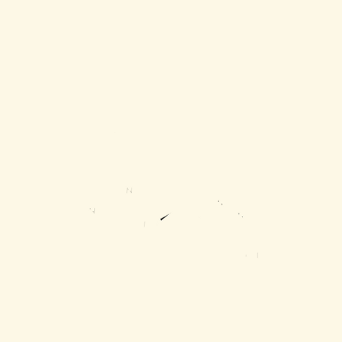 Cc1cc2n(n1)CCC([C@H]1c3ccccc3-c3cncn31)[C@@H]2O